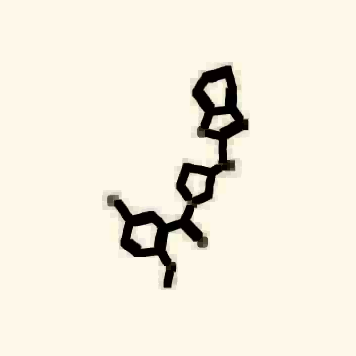 COc1ccc(Cl)cc1C(=O)N1CCC(Nc2nc3ccccc3o2)C1